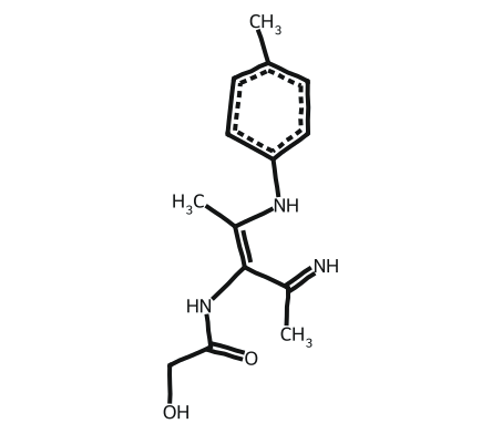 CC(=N)/C(NC(=O)CO)=C(/C)Nc1ccc(C)cc1